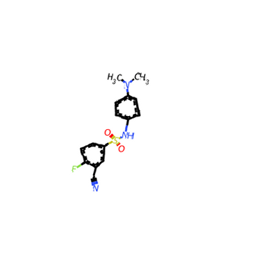 CN(C)c1ccc(NS(=O)(=O)c2ccc(F)c(C#N)c2)cc1